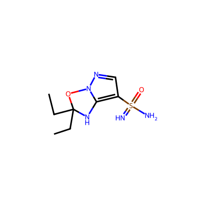 CCC1(CC)Nc2c(S(=N)(N)=O)cnn2O1